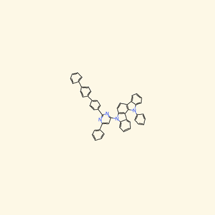 c1ccc(-c2ccc(-c3ccc(-c4nc(-c5ccccc5)cc(-n5c6ccccc6c6c5ccc5c7ccccc7n(-c7ccccc7)c56)n4)cc3)cc2)cc1